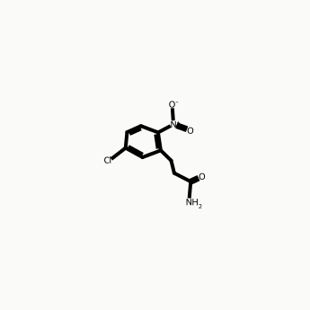 NC(=O)CCc1cc(Cl)ccc1[N+](=O)[O-]